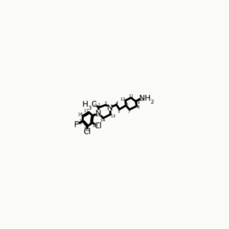 CC1CN(CCC2CCC(N)CC2)CCN1c1ccc(F)c(Cl)c1Cl